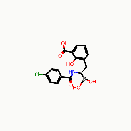 O=C(N[C@@H](Cc1cccc(C(=O)O)c1O)B(O)O)c1ccc(Cl)cc1